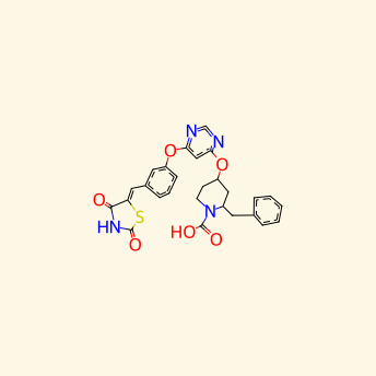 O=C1NC(=O)/C(=C/c2cccc(Oc3cc(OC4CCN(C(=O)O)C(Cc5ccccc5)C4)ncn3)c2)S1